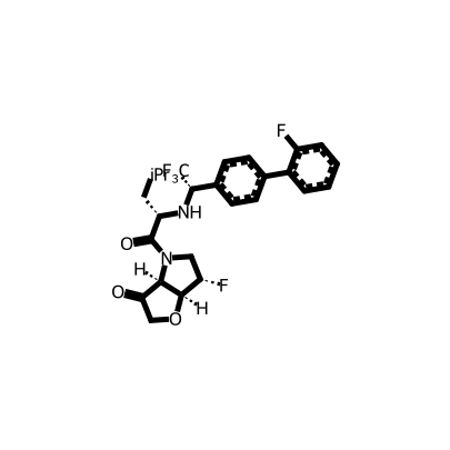 CC(C)C[C@H](N[C@@H](c1ccc(-c2ccccc2F)cc1)C(F)(F)F)C(=O)N1C[C@H](F)[C@H]2OCC(=O)[C@H]21